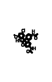 COc1cc(Cl)cc2c1NC(=O)C2(c1ccc(NC(C)=O)cc1)c1ccc(NC(C)=O)cc1